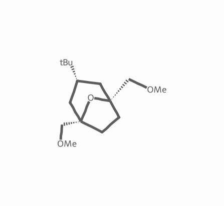 COC[C@@]12CC[C@@](COC)(C[C@H](C(C)(C)C)C1)O2